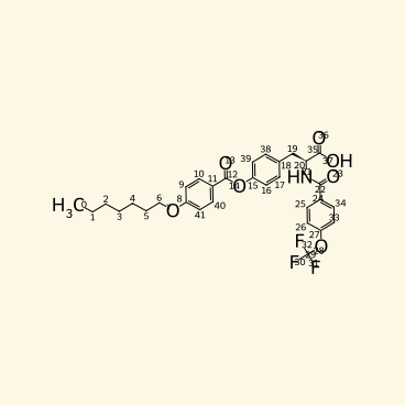 CCCCCCCOc1ccc(C(=O)Oc2ccc(C[C@H](NC(=O)c3ccc(OC(F)(F)F)cc3)C(=O)O)cc2)cc1